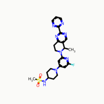 CC1c2cnc(-c3ncccn3)nc2CCN1c1cc(N2CCC(NS(C)(=O)=O)CC2)cc(F)n1